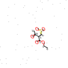 CCOC(=O)C(C=S(=O)=O)C(C)=O